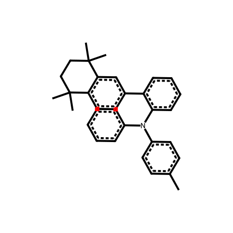 Cc1ccc(N(c2ccccc2)c2ccccc2-c2ccc3c(c2)C(C)(C)CCC3(C)C)cc1